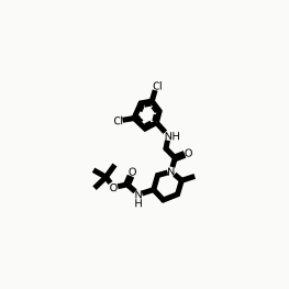 CC1CCC(NC(=O)OC(C)(C)C)CN1C(=O)CNc1cc(Cl)cc(Cl)c1